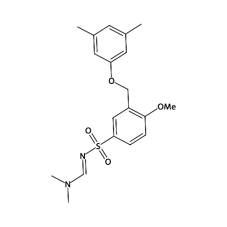 COc1ccc(S(=O)(=O)/N=C/N(C)C)cc1COc1cc(C)cc(C)c1